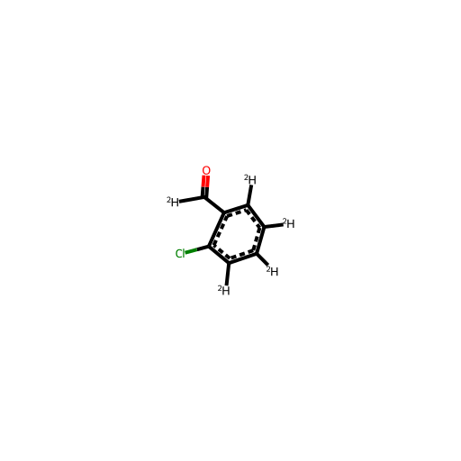 [2H]C(=O)c1c([2H])c([2H])c([2H])c([2H])c1Cl